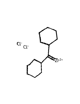 [Cl-].[Cl-].[Zr+2]=[C](C1CCCCC1)C1CCCCC1